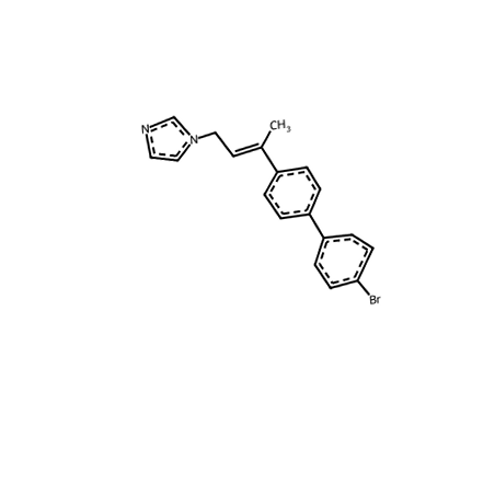 CC(=CCn1ccnc1)c1ccc(-c2ccc(Br)cc2)cc1